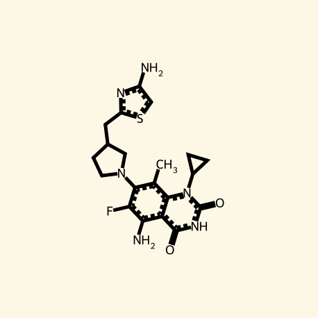 Cc1c(N2CCC(Cc3nc(N)cs3)C2)c(F)c(N)c2c(=O)[nH]c(=O)n(C3CC3)c12